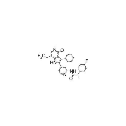 C[C@H](C(=O)Nc1cc(-c2[nH]c3c(CC(F)(F)F)cn(C)c(=O)c3c2-c2ccccc2)ccn1)c1ccc(F)cc1